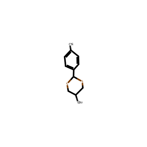 CC(C)(C)C1CSC(c2ccc(C#N)cc2)SC1